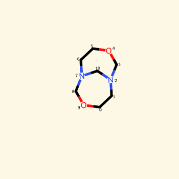 C1CN2COCCN(CO1)C2